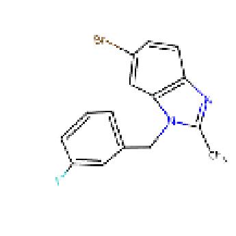 Fc1cccc(Cn2c(C(F)(F)F)nc3ccc(Br)cc32)c1